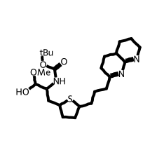 COC(O)C(CC1CCC(CCCC2=NC3=NCCCC3CC2)S1)NC(=O)OC(C)(C)C